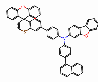 c1ccc2c(c1)Oc1ccccc1C21c2ccccc2Sc2cc(-c3ccc(N(c4ccc(-c5cccc6ccccc56)cc4)c4ccc5c(c4)oc4ccccc45)cc3)ccc21